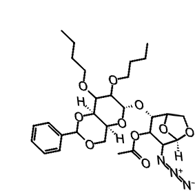 CCCCOC1C(OCCCC)[C@@H]2OC(c3ccccc3)OC[C@@H]2O[C@H]1O[C@@H]1C2CO[C@H](O2)C(N=[N+]=[N-])C1OC(C)=O